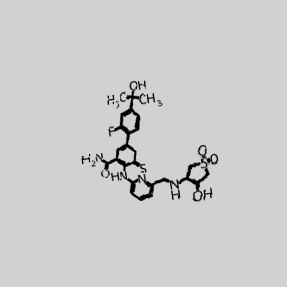 CC(C)(O)c1ccc(C2=CC(C(N)=O)=C(Nc3cccc(CNC4CS(=O)(=O)CC4O)n3)C(=S)C2)c(F)c1